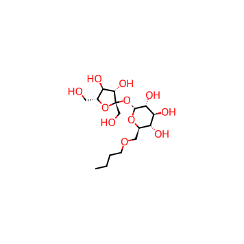 CCCCOC[C@H]1O[C@H](O[C@]2(CO)O[C@H](CO)[C@@H](O)[C@@H]2O)[C@H](O)[C@@H](O)[C@@H]1O